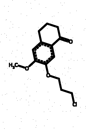 COc1cc2c(cc1OCCCCl)C(=O)CCC2